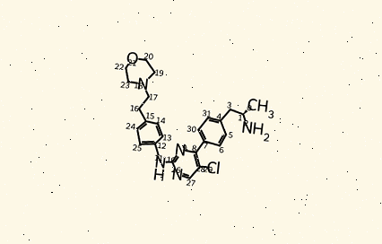 C[C@@H](N)Cc1ccc(-c2nc(Nc3ccc(CCN4CCOCC4)cc3)ncc2Cl)cc1